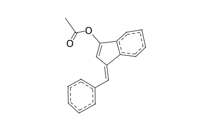 CC(=O)OC1=CC(=Cc2ccccc2)c2ccccc21